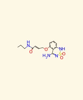 CCCNC(=O)/C=C/COc1cccc2c1C(N)=NS(=O)(=O)N2